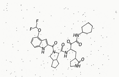 O=C(NC1CCCCC1)C(=O)C(CC1CCNC1=O)NC(=O)[C@@H]1C2CCCC2CN1C(=O)c1cc2c(OC(F)F)cccc2[nH]1